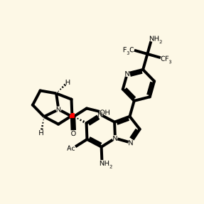 CC(=O)c1c([C@@H]2C[C@H]3CC[C@@H](C2)N3C(=O)CO)nc2c(-c3ccc(C(N)(C(F)(F)F)C(F)(F)F)nc3)cnn2c1N